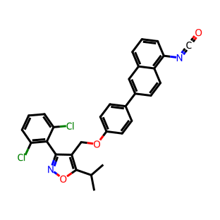 CC(C)c1onc(-c2c(Cl)cccc2Cl)c1COc1ccc(-c2ccc3c(N=C=O)cccc3c2)cc1